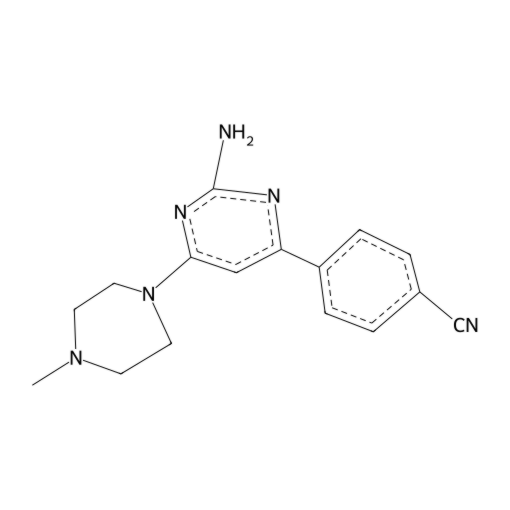 CN1CCN(c2cc(-c3ccc(C#N)cc3)nc(N)n2)CC1